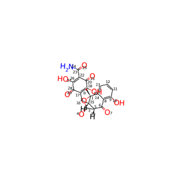 C[C@@]12OC(=O)[C@@H](C(=O)c3c(O)cccc31)[C@@H]2CC1=C(O)C(=O)C(C(N)=O)=C(O)C1=O